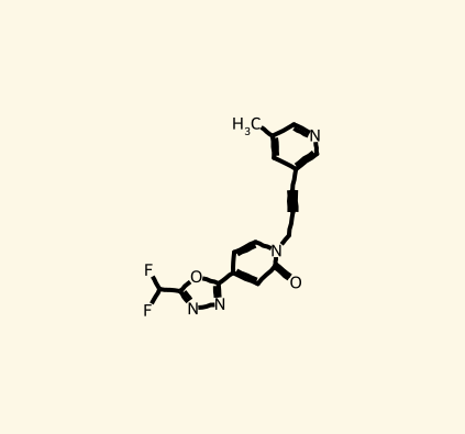 Cc1cncc(C#CCn2ccc(-c3nnc(C(F)F)o3)cc2=O)c1